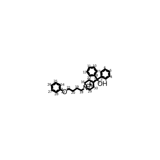 OC(c1ccccc1)(c1ccccc1)C12CC[N+](CCCCOc3ccccc3)(CC1)CC2